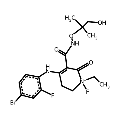 CC[N+]1(F)CCC(Nc2ccc(Br)cc2F)=C(C(=O)NOC(C)(C)CO)C1=O